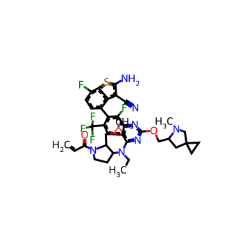 C=CC(=O)N1CCC(N(CC)c2nc(OCC3CC4(CC4)CN3C)nc3c(F)c(-c4ccc(F)c5sc(N)c(C#N)c45)c(C(F)(F)F)cc23)C1COC